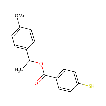 COc1ccc(C(C)OC(=O)c2ccc(S)cc2)cc1